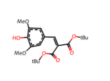 COc1cc(C=C(C(=O)OC(C)(C)C)C(=O)OC(C)(C)C)cc(OC)c1O